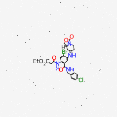 CCOC(=O)CC(=O)Nc1cc(Br)c(N[C@H]2CCN3C(=O)OC[C@@H]3C2)cc1C(=O)NCc1ccc(Cl)cc1